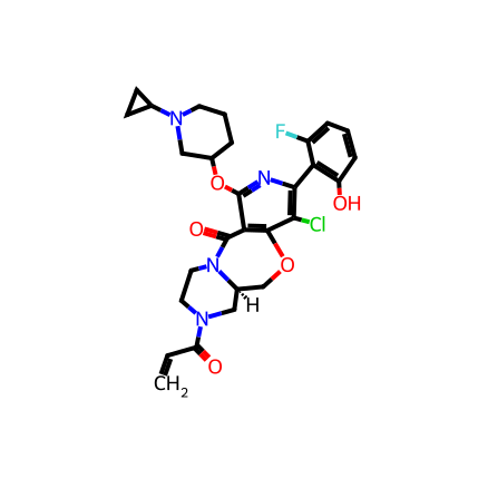 C=CC(=O)N1CCN2C(=O)c3c(OC4CCCN(C5CC5)C4)nc(-c4c(O)cccc4F)c(Cl)c3OC[C@H]2C1